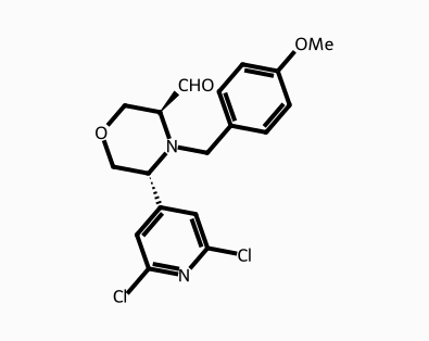 COc1ccc(CN2[C@H](C=O)COC[C@H]2c2cc(Cl)nc(Cl)c2)cc1